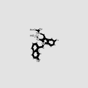 COC(=O)NCc1c(OC(=O)O)n(Cc2cccc3ccc(F)cc23)c2ccc(F)cc12